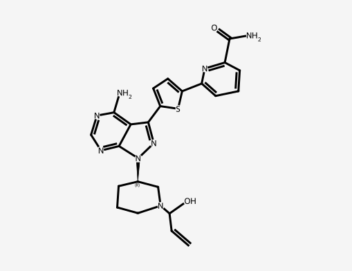 C=CC(O)N1CCC[C@@H](n2nc(-c3ccc(-c4cccc(C(N)=O)n4)s3)c3c(N)ncnc32)C1